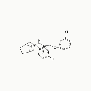 O=C(COc1cccc(Cl)c1)NC1CC2CCC(C1)N2Cc1ccc(Cl)cc1